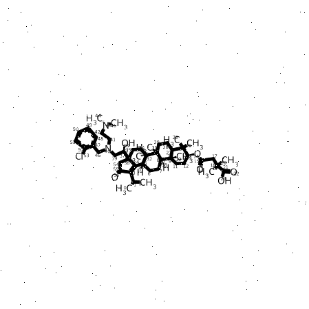 CC(C)C1=C2[C@H]3CC[C@@H]4[C@@]5(C)CC[C@H](OC(=O)CC(C)(C)C(=O)O)C(C)(C)C5CC[C@@]4(C)[C@]3(C)CCC2([C@H](O)CN(CCN(C)C)Cc2ccccc2Cl)CC1=O